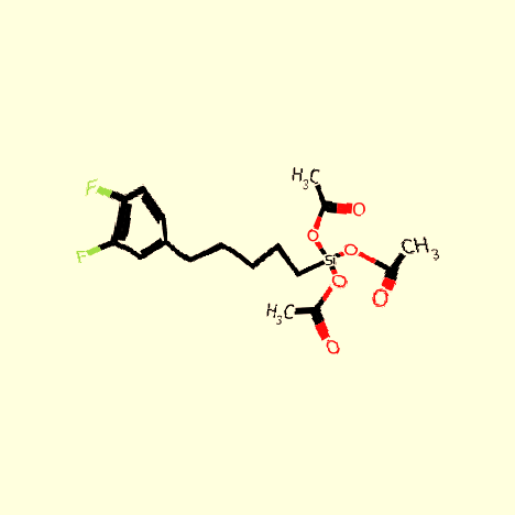 CC(=O)O[Si](CCCCCc1ccc(F)c(F)c1)(OC(C)=O)OC(C)=O